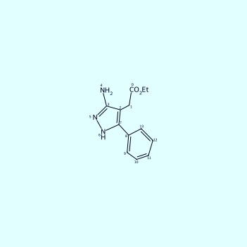 CCOC(=O)Cc1c(N)n[nH]c1-c1ccccc1